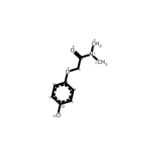 CN(C)C(=O)COc1ccc(Cl)cc1